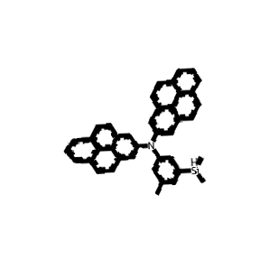 Cc1cc(N(c2cc3ccc4cccc5ccc(c2)c3c45)c2cc3ccc4cccc5ccc(c2)c3c45)cc([SiH](C)C)c1